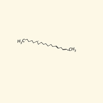 CCC=CCC=CCCCCCCC[CH]CCCCC